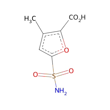 Cc1cc(S(N)(=O)=O)oc1C(=O)O